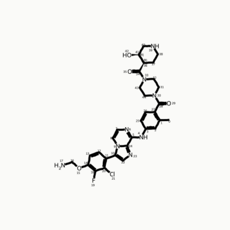 Cc1cc(Nc2nccn3c(-c4ccc(OCN)c(F)c4Cl)cnc23)ccc1C(=O)N1CCN(C(=O)[C@@H]2CCNC[C@@H]2O)CC1